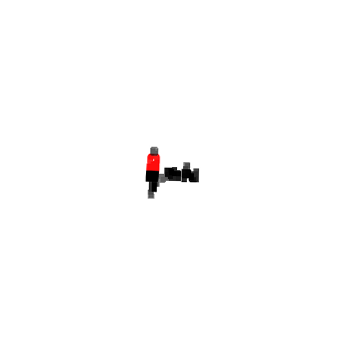 [O]=[Ir].[Pd].[Rh]